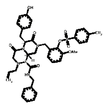 C=CCN1CC(=O)N2[C@@H](Cc3ccc(O)cc3)C(=O)N(Cc3cccc(OC)c3OS(=O)(=O)c3ccc(C)cc3)C[C@@H]2N1C(=O)NCc1ccccc1